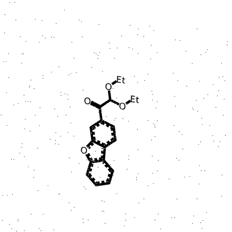 CCOC(OCC)C(=O)c1ccc2c(c1)oc1ccccc12